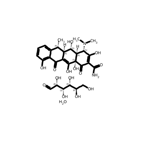 C[C@H]1c2cccc(O)c2C(=O)C2=C(O)[C@]3(O)C(=O)C(C(N)=O)=C(O)[C@@H](N(C)C)[C@@H]3[C@@H](O)[C@@H]21.O.O=C[C@H](O)[C@@H](O)[C@H](O)[C@H](O)CO